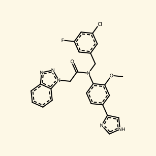 COc1cc(-c2c[nH]cn2)ccc1N(Cc1cc(F)cc(Cl)c1)C(=O)Cn1nnc2ccccc21